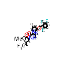 COC(=O)C(CCCC(F)(F)F)NC(=O)c1c(C)nc2c(OCc3c(F)ccc(F)c3F)cc(C)cn12